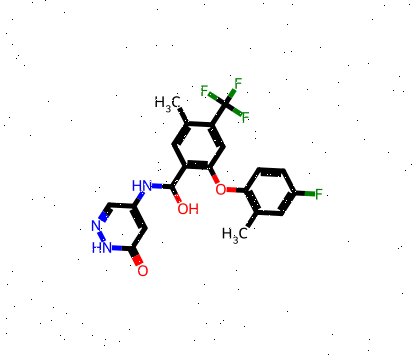 Cc1cc(F)ccc1Oc1cc(C(F)(F)F)c(C)cc1C(O)Nc1cn[nH]c(=O)c1